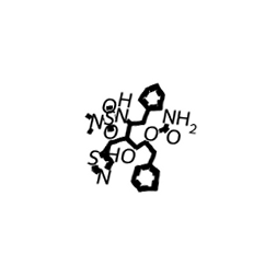 CN(C)S(=O)(=O)NC(Cc1ccccc1)C(Cc1cncs1)C(O)C(Cc1ccccc1)OC(N)=O